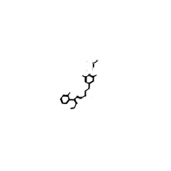 CCc1sc(C(=O)CCc2cc(C)c(OCC(O)CO)c(C)c2)cc1-c1ccccc1C